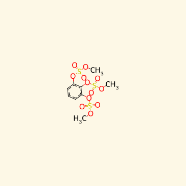 COS(=O)(=O)Oc1cccc(OS(=O)(=O)OC)c1OS(=O)(=O)OC